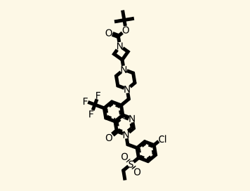 CCS(=O)(=O)c1ccc(Cl)cc1Cn1cnc2c(CN3CCN(C4CN(C(=O)OC(C)(C)C)C4)CC3)cc(C(F)(F)F)cc2c1=O